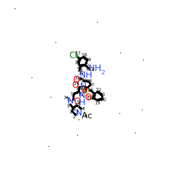 CC(=O)N1CCC(CN(C)C(=O)CC(NS(=O)(=O)Cc2ccccc2)C(=O)N2CCC[C@H]2C(=O)NCc2cc(Cl)ccc2CN)CC1